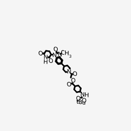 Cn1c(=O)n(C2CCC(=O)NC2=O)c2ccc(C3CCN(C(=O)COC(=O)C4CCC(NC(=O)OC(C)(C)C)CC4)CC3)cc21